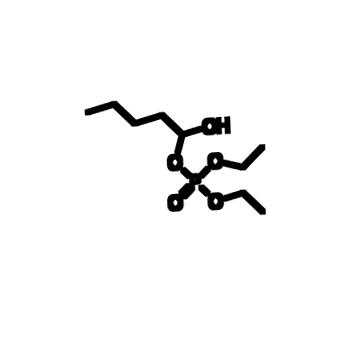 CCCCC(O)OP(=O)(OCC)OCC